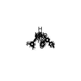 CN1CCC(c2ccc(C(=O)Nc3n[nH]c4ncc(C#Cc5cc(F)cc(F)c5)nc34)c(NC3CCOCC3)c2)CC1